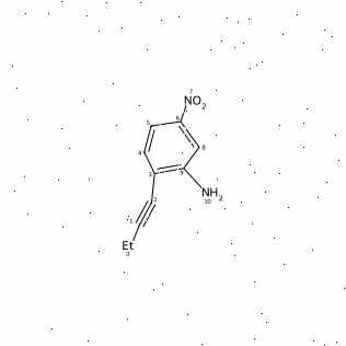 CCC#Cc1ccc([N+](=O)[O-])cc1N